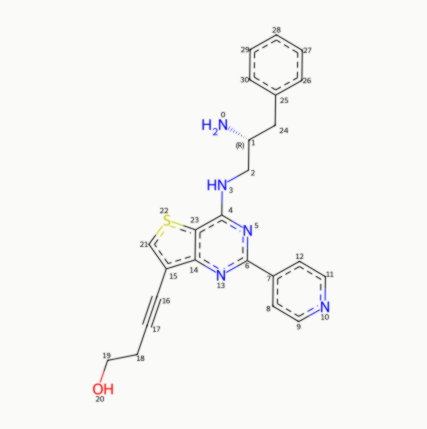 N[C@@H](CNc1nc(-c2ccncc2)nc2c(C#CCCO)csc12)Cc1ccccc1